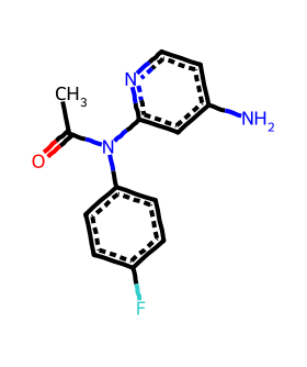 CC(=O)N(c1ccc(F)cc1)c1cc(N)ccn1